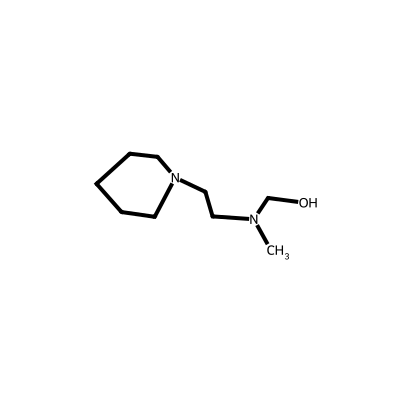 CN(CO)CCN1CCCCC1